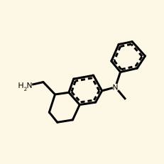 CN(c1ccccc1)c1ccc2c(c1)CCCC2CN